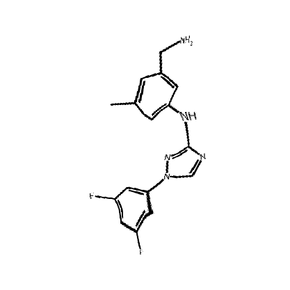 Cc1cc(CN)cc(Nc2ncn(-c3cc(F)cc(F)c3)n2)c1